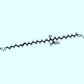 CCCCCCCCC=CCCCCCCCCCCCC(=O)C(CCCCCCCCCCCC)C(=O)O